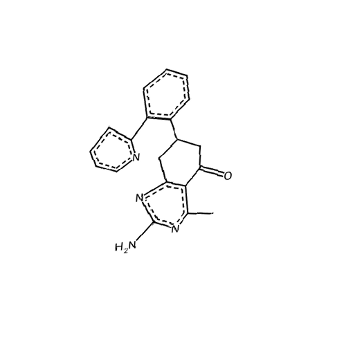 Cc1nc(N)nc2c1C(=O)CC(c1ccccc1-c1ccccn1)C2